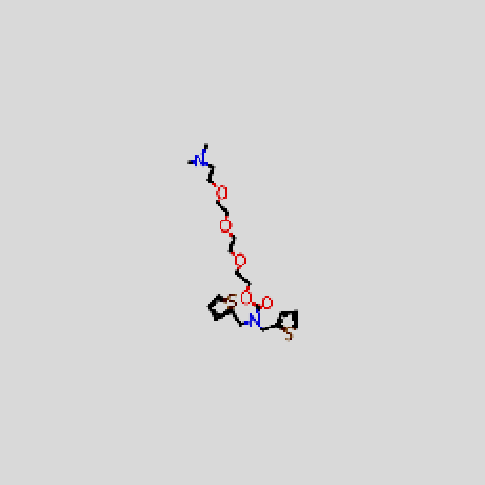 CN(C)CCOCCOCCOCCOC(=O)N(Cc1cccs1)Cc1cccs1